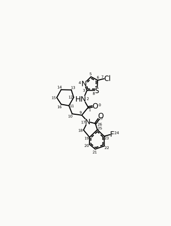 O=C(Nc1ncc(Cl)s1)C(CC1CCCCC1)N1Cc2cccc(F)c2C1=O